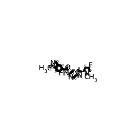 CN1C[C@@H](F)C[C@@H]1c1cn2cc(NC(=O)c3ccc4c(cnn4C)c3)ncc2n1